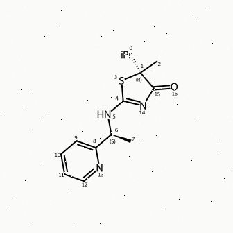 CC(C)[C@@]1(C)SC(N[C@@H](C)c2ccccn2)=NC1=O